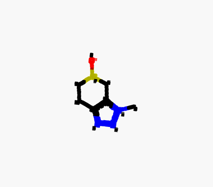 Cn1nnc2c1C[S+]([O-])CC2